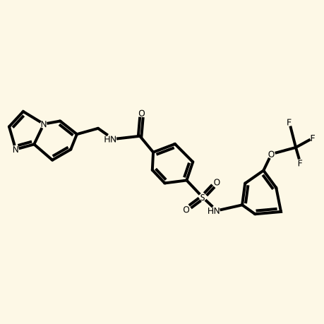 O=C(NCc1ccc2nccn2c1)c1ccc(S(=O)(=O)Nc2cccc(OC(F)(F)F)c2)cc1